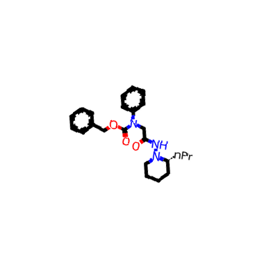 CCC[C@@H]1CCCCN1NC(=O)CN(C(=O)OCc1ccccc1)c1ccccc1